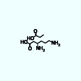 CCC(=O)O.NCCCC(N)CC(=O)O